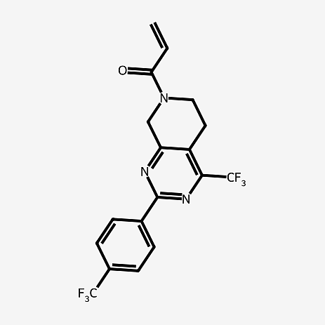 C=CC(=O)N1CCc2c(nc(-c3ccc(C(F)(F)F)cc3)nc2C(F)(F)F)C1